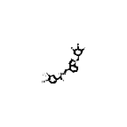 Nc1cc(C(=O)N/N=C/c2cccc3c2ccn3Cc2cc(F)c(F)c(F)c2)ccc1O